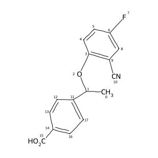 CC(Oc1ccc(F)cc1C#N)c1ccc(C(=O)O)cc1